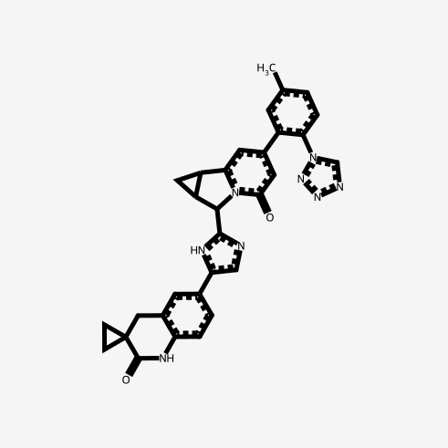 Cc1ccc(-n2cnnn2)c(-c2cc3n(c(=O)c2)C(c2ncc(-c4ccc5c(c4)CC4(CC4)C(=O)N5)[nH]2)C2CC32)c1